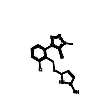 Cn1nnn(-c2cccc(Cl)c2CSC2C=CN(O)N2)c1=O